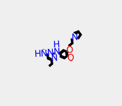 CCc1cc(NC)nc(Nc2ccc(OC)c(OCCCN3C=CCC3)c2)n1